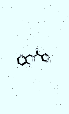 O=C(NCc1ncccc1F)c1cn[nH]c1